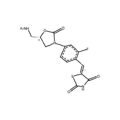 CC(=O)NC[C@H]1CN(c2ccc(/C=C3\SC(=O)NC3=O)c(F)c2)C(=O)O1